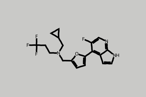 Fc1cnc2[nH]ccc2c1-c1ccc(CN(CCC(F)(F)F)CC2CC2)o1